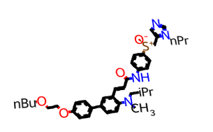 CCCCOCCOc1ccc(-c2ccc(N(C)CC(C)C)c(/C=C/C(=O)Nc3ccc([S@@+]([O-])Cc4cncn4CCC)cc3)c2)cc1